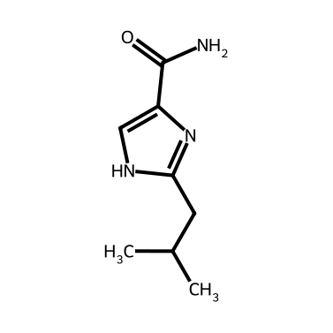 CC(C)Cc1nc(C(N)=O)c[nH]1